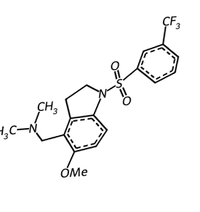 COc1ccc2c(c1CN(C)C)CCN2S(=O)(=O)c1cccc(C(F)(F)F)c1